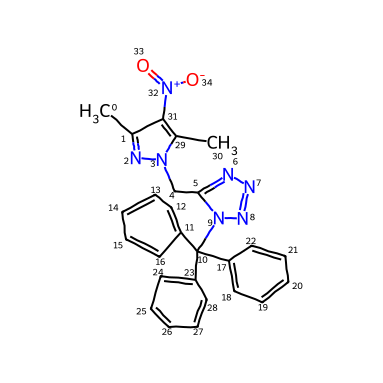 Cc1nn(Cc2nnnn2C(c2ccccc2)(c2ccccc2)c2ccccc2)c(C)c1[N+](=O)[O-]